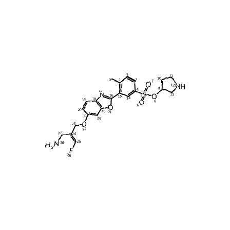 Cc1ccc(S(=O)(=O)OC2CCNC2)cc1-c1nc2ccc(OCC(=CF)CN)cc2o1